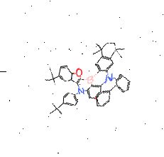 Cc1cc2c3c(c1)N(c1ccc(C(C)(C)C)cc1)c1c(oc4ccc(C(C)(C)C)cc14)B3c1cc3c(cc1N2c1ccccc1-c1ccccc1)C(C)(C)CCC3(C)C